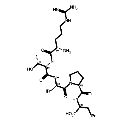 CC(C)C[C@H](NC(=O)[C@@H]1CCCN1C(=O)[C@@H](NC(=O)[C@@H](NC(=O)[C@@H](N)CCCNC(=N)N)[C@@H](C)O)C(C)C)C(=O)O